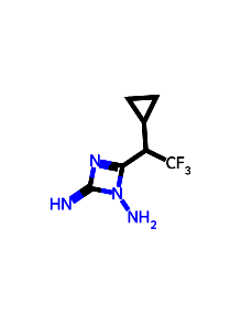 N=C1N=C(C(C2CC2)C(F)(F)F)N1N